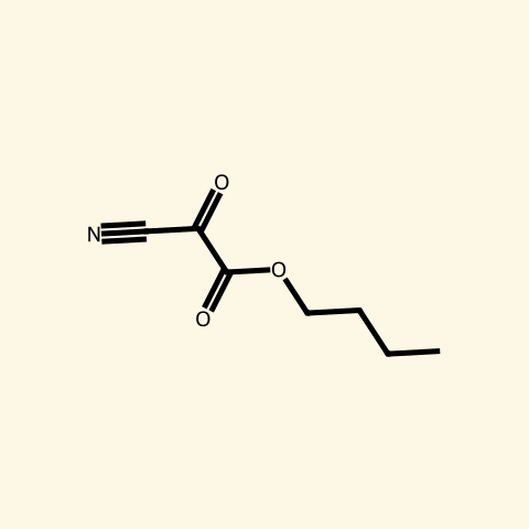 CCCCOC(=O)C(=O)C#N